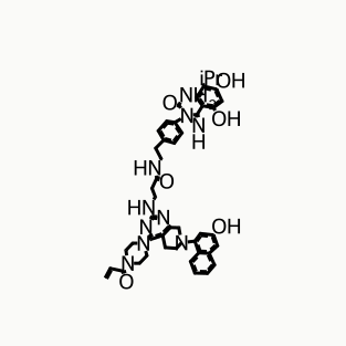 C=CC(=O)N1CCN(c2nc(NCCC(=O)NCCc3ccc(N(C(=N)c4cc(C(C)C)c(O)cc4O)C(N)=O)cc3)nc3c2CCN(c2cc(O)cc4ccccc24)C3)CC1